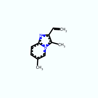 C=Cc1nc2ccc(C)cn2c1C